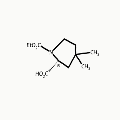 CCOC(=O)N1CCC(C)(C)C[C@@H]1C(=O)O